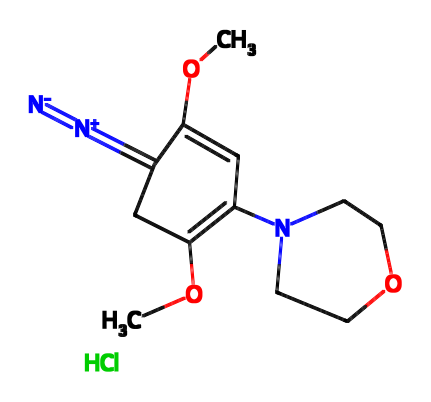 COC1=CC(N2CCOCC2)=C(OC)CC1=[N+]=[N-].Cl